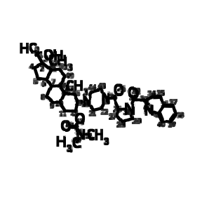 C#C[C@]1(O)CCC2C3CCC4C[C@H](OC(=O)N(C)C)[C@@H](N5CCN(C(=O)C6CCCN6C(=O)c6ccc7ccccc7n6)CC5)C[C@]4(C)C3CC[C@@]21C